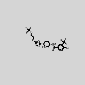 O=C(N[C@H]1CC[C@H](c2nnc(OCCOC(F)(F)F)o2)NC1)c1ccc(Cl)c(C(F)(F)F)c1